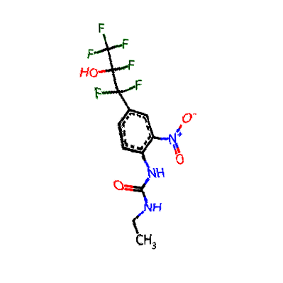 CCNC(=O)Nc1ccc(C(F)(F)C(O)(F)C(F)(F)F)cc1[N+](=O)[O-]